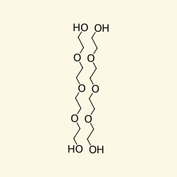 OCCOCCOCCOCCO.OCCOCCOCCOCCO